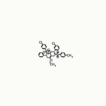 CCOC1=C2CN(S(=O)(=O)c3ccc(C)cc3)[C@H](c3cccc(Cl)c3)C[C@@H]2N(S(=O)(=O)c2ccc(Cl)cc2)[C@H](c2ccccc2)C1